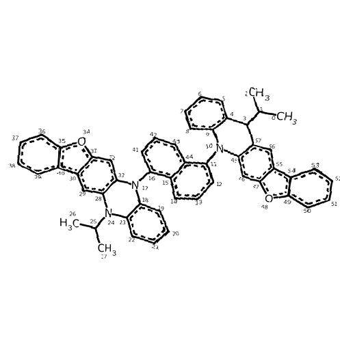 CC(C)C1c2ccccc2N(c2cccc3c(N4c5ccccc5N(C(C)C)c5cc6c(cc54)oc4ccccc46)cccc23)c2cc3oc4ccccc4c3cc21